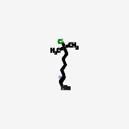 CCCC/C=C/CCCC[Si](C)(C)Cl